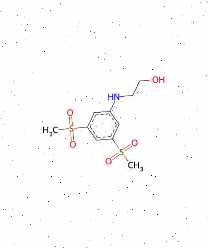 CS(=O)(=O)c1cc(NCCO)cc(S(C)(=O)=O)c1